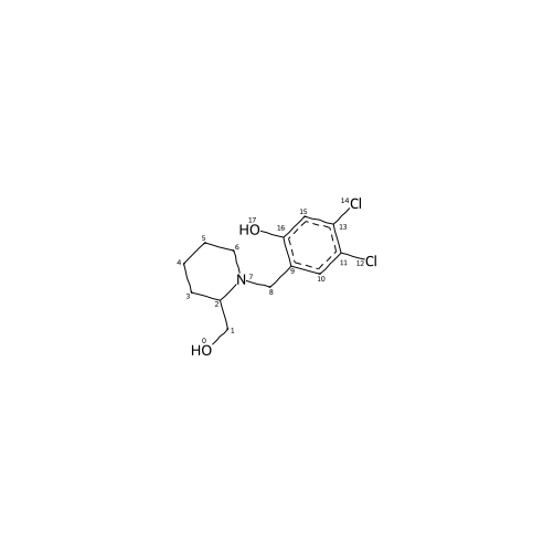 OCC1CCCCN1Cc1cc(Cl)c(Cl)cc1O